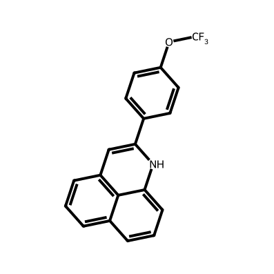 FC(F)(F)Oc1ccc(C2=Cc3cccc4cccc(c34)N2)cc1